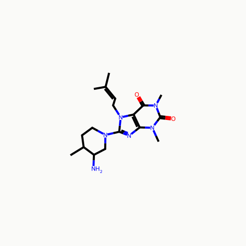 CC(C)=CCn1c(N2CCC(C)C(N)C2)nc2c1c(=O)n(C)c(=O)n2C